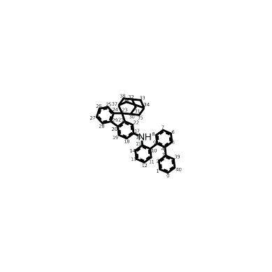 c1ccc(-c2ccccc2-c2ccccc2Nc2ccc3c(c2)C2(c4ccccc4-3)C3CC4CC(C3)CC2C4)cc1